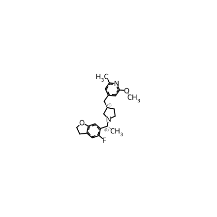 COc1cc(C[C@H]2CCN([C@H](C)c3cc4c(cc3F)CCO4)C2)cc(C)n1